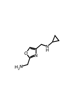 NCc1nc(CNC2CC2)co1